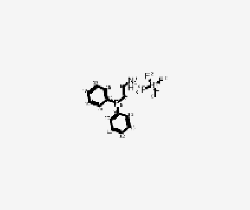 F[B-](F)(F)F.[NH3+]CCP(c1ccccc1)c1ccccc1